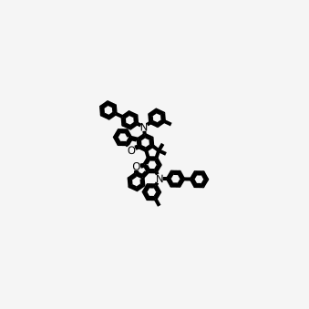 Cc1cccc(N(c2ccc(-c3ccccc3)cc2)c2cc3c(c4oc5ccccc5c24)-c2c(cc(N(c4ccc(-c5ccccc5)cc4)c4cccc(C)c4)c4c2oc2ccccc24)C3(C)C)c1